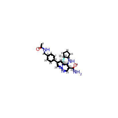 CC(=O)NCc1ccc(-c2cc3c(N[C@@H]4CCC[C@]4(C)F)c(C(N)=O)cnn3c2)cc1